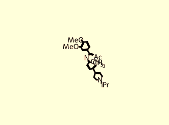 C\C=C(/C=C\C(C)=N\C(=C/C(C)=O)c1ccc(OC)c(OC)c1)C1=CCN(C(C)C)CC1